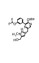 COc1ncc(CN2C=C(CO)N(C)N2)nc1-c1cccc(OC(F)F)c1